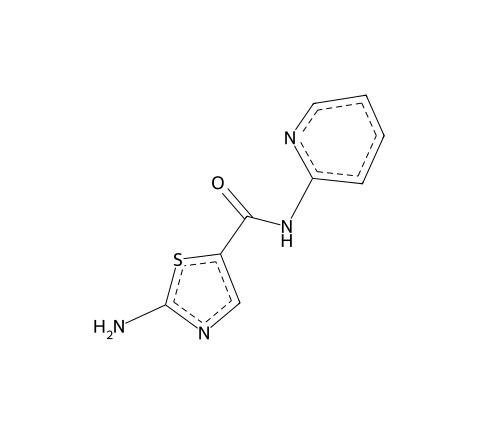 Nc1ncc(C(=O)Nc2ccccn2)s1